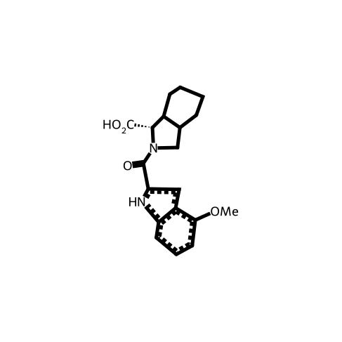 COc1cccc2[nH]c(C(=O)N3CC4CCCCC4[C@H]3C(=O)O)cc12